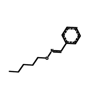 CCCCCON=Cc1cc[c]cc1